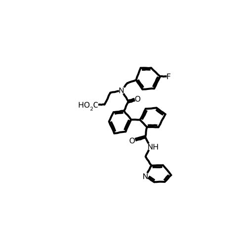 O=C(O)CCN(Cc1ccc(F)cc1)C(=O)c1ccccc1-c1ccccc1C(=O)NCc1ccccn1